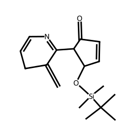 C=C1CC=CN=C1C1C(=O)C=CC1O[Si](C)(C)C(C)(C)C